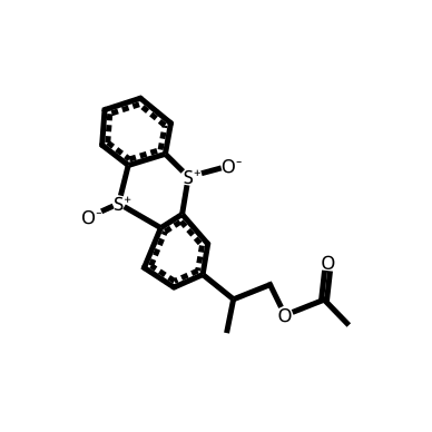 CC(=O)OCC(C)c1ccc2c(c1)[S+]([O-])c1ccccc1[S+]2[O-]